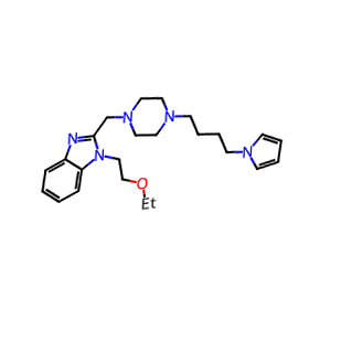 CCOCCn1c(CN2CCN(CCCCn3cccc3)CC2)nc2ccccc21